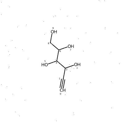 C#CC(O)C(O)C(O)CO